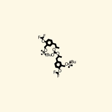 CC(Cc1ccc(OC(F)F)c(CO[Si](C)(C)C(C)(C)C)c1)OC(=O)OC(C)Cc1ccc(OC(F)F)c(CO[Si](C)(C)C(C)(C)C)c1